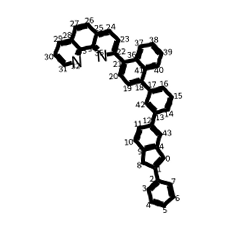 C1=C(c2ccccc2)Cc2ccc(-c3cccc(-c4ccc(-c5ccc6ccc7cccnc7c6n5)c5ccccc45)c3)cc21